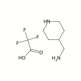 NCC1CCNCC1.O=C(O)C(F)(F)F